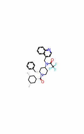 C[C@@H]1C[C@H](C)C[C@H](C(=O)N2CC[C@H](N(Cc3ccnc4ccccc34)C(=O)C(F)(F)F)C[C@H]2Cc2ccccc2)C1